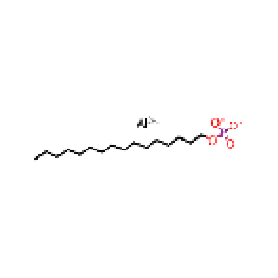 CCCCCCCCCCCCCCCCOP(=O)([O-])[O-].[Al+2]